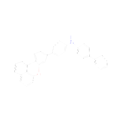 c1ccc(-c2ccc(Nc3ccc(-c4ccc5c(c4)Oc4cccc6cccc-5c46)cc3)cc2)cc1